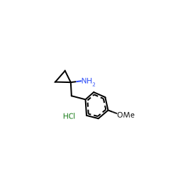 COc1ccc(CC2(N)CC2)cc1.Cl